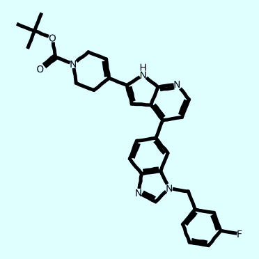 CC(C)(C)OC(=O)N1CC=C(c2cc3c(-c4ccc5ncn(Cc6cccc(F)c6)c5c4)ccnc3[nH]2)CC1